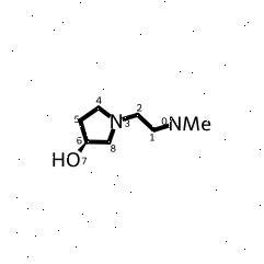 CNCCN1CC[C@H](O)C1